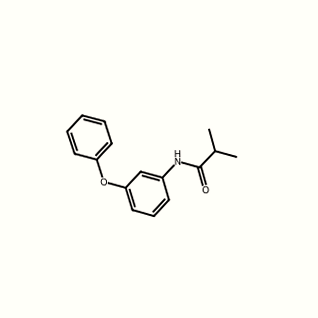 CC(C)C(=O)Nc1cccc(Oc2ccccc2)c1